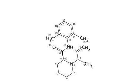 C=CC(C)N1CCCC[C@H]1C(=O)Nc1c(C)cccc1C